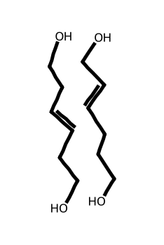 OCC=CCCCO.OCCC=CCCO